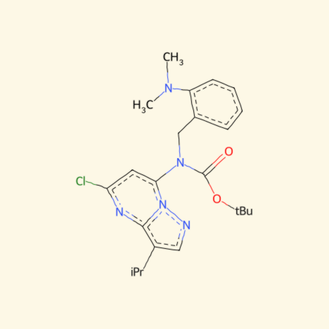 CC(C)c1cnn2c(N(Cc3ccccc3N(C)C)C(=O)OC(C)(C)C)cc(Cl)nc12